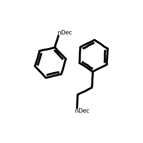 CCCCCCCCCCCCc1ccccc1.CCCCCCCCCCc1ccccc1